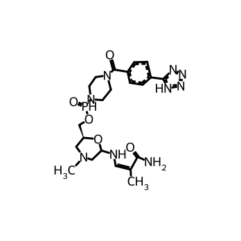 C/C(=C/NC1CN(C)C[C@@H](CO[PH](=O)N2CCN(C(=O)c3ccc(-c4nnn[nH]4)cc3)CC2)O1)C(N)=O